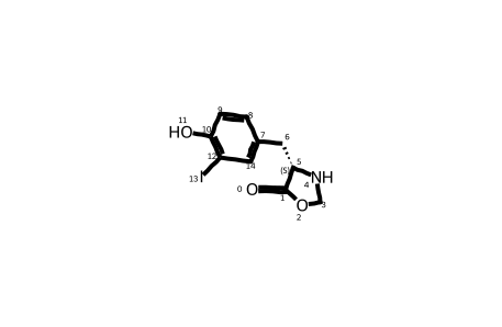 O=C1OCN[C@H]1Cc1ccc(O)c(I)c1